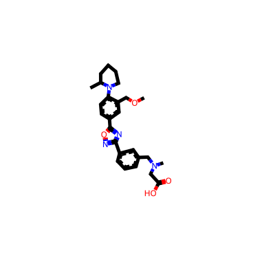 COCc1cc(-c2nc(-c3cccc(CN(C)CC(=O)O)c3)no2)ccc1N1CCCCC1C